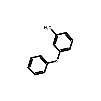 Cc1cccc(Sc2ccccc2)c1